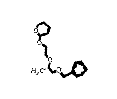 C[C@@H](COCc1ccccc1)OCCOC1CCCCO1